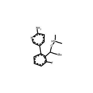 C[SiH](C)OC(c1c(F)cccc1-c1ccc(N)nc1)C(C)(C)C